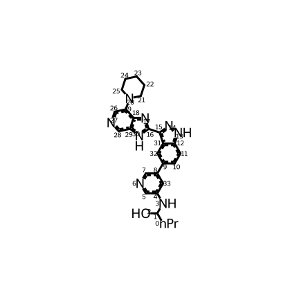 CCCC(O)Nc1cncc(-c2ccc3[nH]nc(-c4nc5c(N6CCCCC6)cncc5[nH]4)c3c2)c1